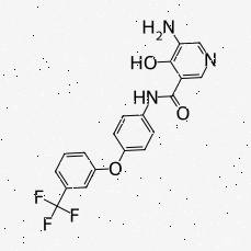 Nc1cncc(C(=O)Nc2ccc(Oc3cccc(C(F)(F)F)c3)cc2)c1O